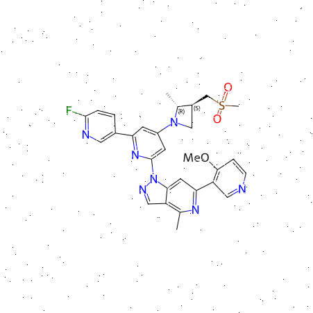 COc1ccncc1-c1cc2c(cnn2-c2cc(N3C[C@H](CS(C)(=O)=O)[C@H]3C)cc(-c3ccc(F)nc3)n2)c(C)n1